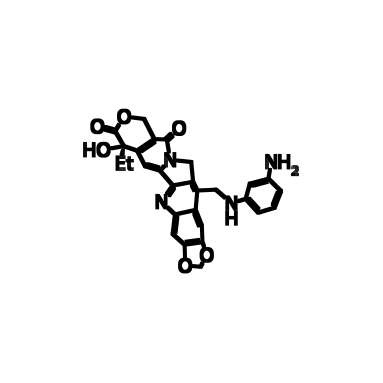 CC[C@@]1(O)C(=O)OCc2c1cc1n(c2=O)Cc2c-1nc1cc3c(cc1c2CNc1cccc(N)c1)OCO3